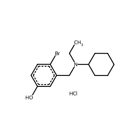 CCN(Cc1cc(O)ccc1Br)C1CCCCC1.Cl